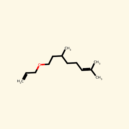 C=CCOCCC(C)CCC=C(C)C